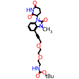 Cn1c(=O)n(C2CCC(=O)NC2=O)c2cccc(C#CCOCCOCCNC(=O)OC(C)(C)C)c21